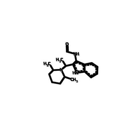 CC1CCCC(C)N1C(C)c1[nH]c2ccccc2c1NC=O